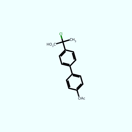 CC(=O)Oc1ccc(-c2ccc(C(C)(Cl)C(=O)O)cc2)cc1